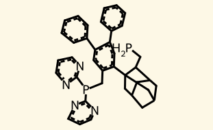 PCC1C2CC3CC(C2)CC1(c1cc(-c2ccccc2)c(-c2ccccc2)cc1CP(c1ncccn1)c1ncccn1)C3